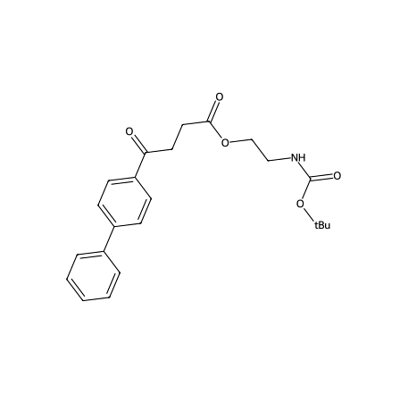 CC(C)(C)OC(=O)NCCOC(=O)CCC(=O)c1ccc(-c2ccccc2)cc1